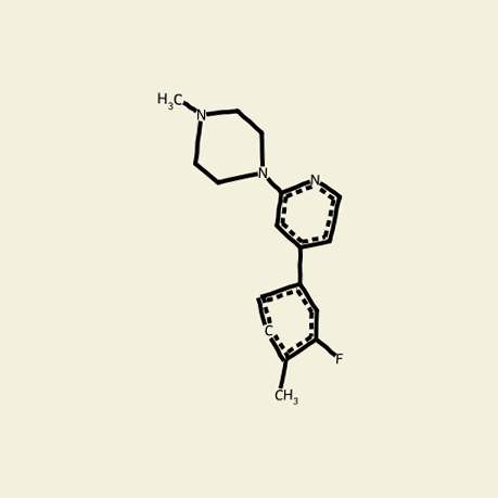 Cc1ccc(-c2ccnc(N3CCN(C)CC3)c2)cc1F